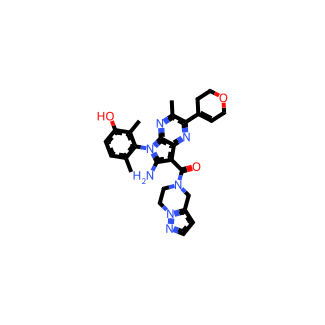 Cc1ccc(O)c(C)c1-n1c(N)c(C(=O)N2CCn3nccc3C2)c2nc(C3=CCOCC3)c(C)nc21